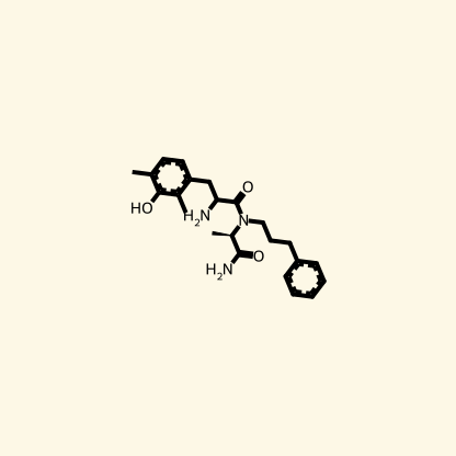 Cc1ccc(CC(N)C(=O)N(CCCc2ccccc2)[C@H](C)C(N)=O)c(C)c1O